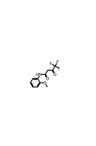 COc1ccccc1NC(=O)CC(=O)C(F)(F)F